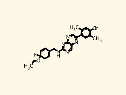 CCOC1(F)C=CC(CNc2ncc3nc(-c4cc(C)c(Br)cc4C)cnc3n2)=CC1